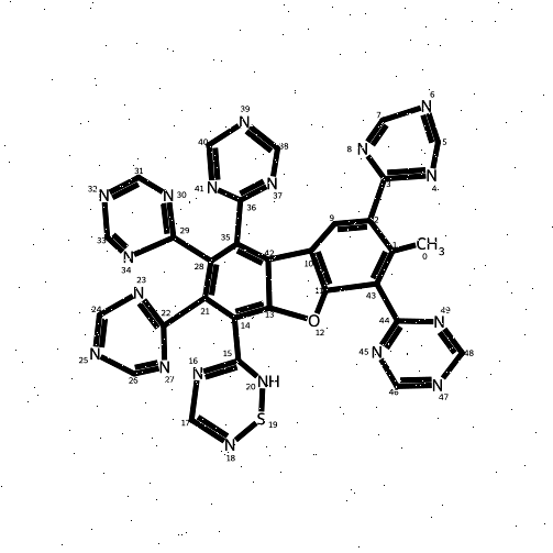 Cc1c(-c2ncncn2)cc2c(oc3c(C4=NC=NSN4)c(-c4ncncn4)c(-c4ncncn4)c(-c4ncncn4)c32)c1-c1ncncn1